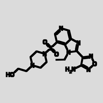 CCn1c(-c2nonc2N)nc2cncc(S(=O)(=O)N3CCN(CCO)CC3)c21